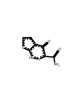 NC(=O)c1n[nH]c2sccc2c1=O